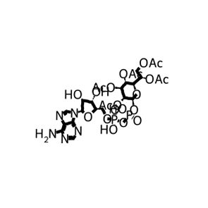 CC(=O)OC[C@H](OC(C)=O)[C@H]1O[C@@H](OP(=O)(O)OP(=O)(O)OC[C@H]2O[C@@H](n3cnc4c(N)ncnc43)[C@H](O)[C@@H]2O)[C@@H](OC(C)=O)[C@@H](OC(C)=O)[C@@H]1OC(C)=O